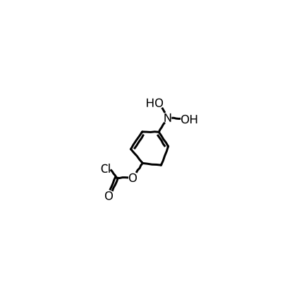 O=C(Cl)OC1C=CC(N(O)O)=CC1